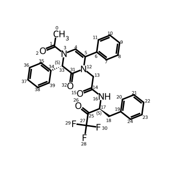 CC(=O)N1C=C(c2ccccc2)N(CC(=O)N[C@@H](Cc2ccccc2)C(=O)C(F)(F)F)C(=O)[C@@H]1c1ccccc1